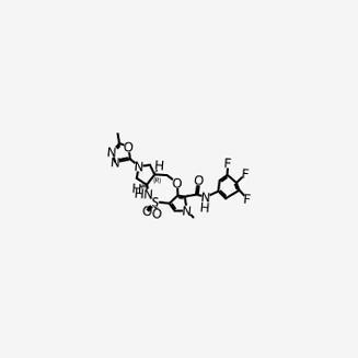 Cc1nnc(N2C[C@H]3COc4c(cn(C)c4C(=O)Nc4cc(F)c(F)c(F)c4)S(=O)(=O)N[C@H]3C2)o1